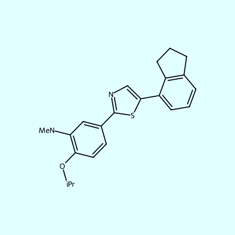 CNc1cc(-c2ncc(-c3cccc4c3CCC4)s2)ccc1OC(C)C